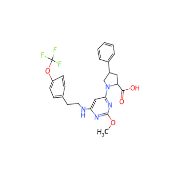 COc1nc(NCCc2ccc(OC(F)(F)F)cc2)cc(N2CC(c3ccccc3)CC2C(=O)O)n1